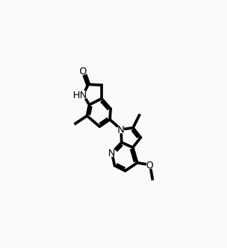 COc1ccnc2c1cc(C)n2-c1cc(C)c2c(c1)CC(=O)N2